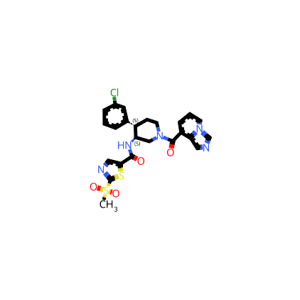 CS(=O)(=O)c1ncc(C(=O)N[C@@H]2CN(C(=O)c3cccn4cncc34)CC[C@H]2c2cccc(Cl)c2)s1